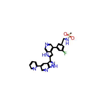 CS(=O)(=O)NCc1cc(F)cc(-c2cncc3[nH]c(-c4n[nH]c5ncc(-c6ccccn6)cc45)cc23)c1